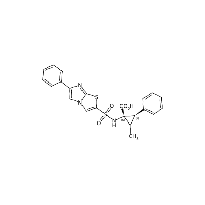 CC1[C@H](c2ccccc2)[C@]1(NS(=O)(=O)c1cn2cc(-c3ccccc3)nc2s1)C(=O)O